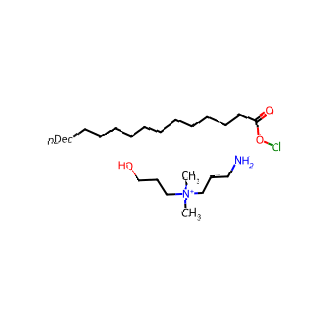 CCCCCCCCCCCCCCCCCCCCCC(=O)OCl.C[N+](C)(CCCN)CCCO